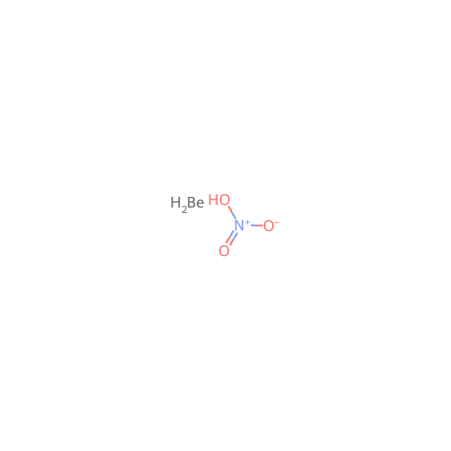 O=[N+]([O-])O.[BeH2]